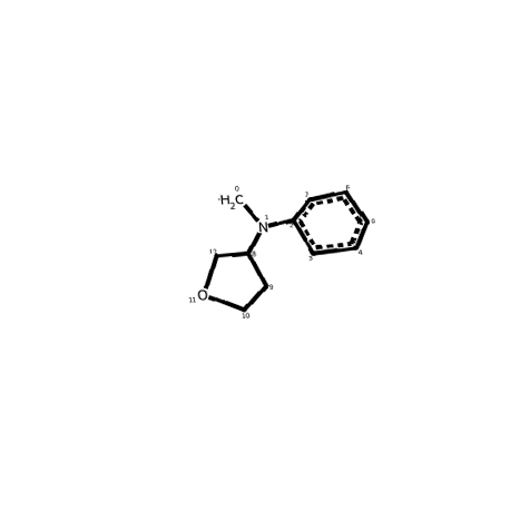 [CH2]N(c1ccccc1)C1CCOC1